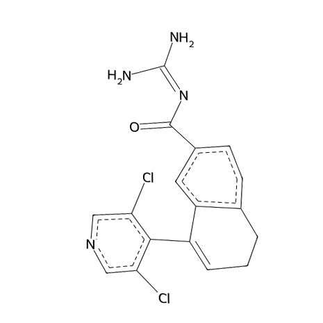 NC(N)=NC(=O)c1ccc2c(c1)C(c1c(Cl)cncc1Cl)=CCC2